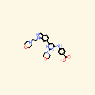 O=C(O)c1ccc(Nc2cc(-c3ccc4cnn(CCN5CCOCC5)c4c3)nc(N3CCOCC3)n2)cc1